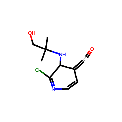 CC(C)(CO)NC1C(=C=O)C=CN=C1Cl